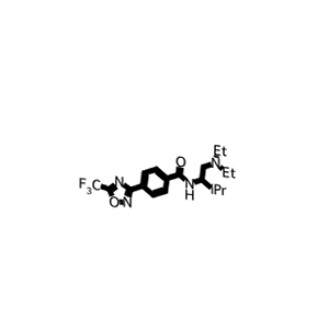 CCN(CC)CC(NC(=O)c1ccc(-c2noc(C(F)(F)F)n2)cc1)C(C)C